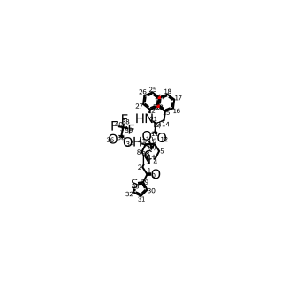 O=C(C[N+]12CCC(CC1)[C@@H](OC(=O)[C@H](Cc1ccccc1)Nc1ccccc1)C2)c1cccs1.O=C([O-])C(F)(F)F